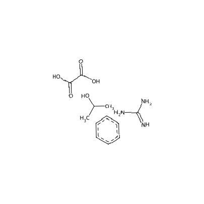 CC(C)O.N=C(N)N.O=C(O)C(=O)O.c1ccccc1